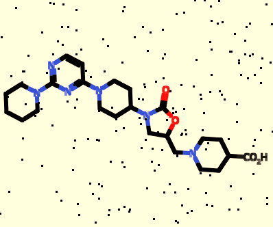 O=C(O)C1CCN(CC2CN(C3CCN(c4ccnc(N5CCCCC5)n4)CC3)C(=O)O2)CC1